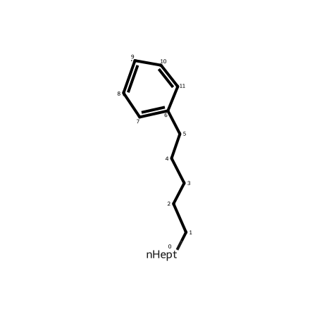 CCCCCCCCCCCCc1c[c][c]cc1